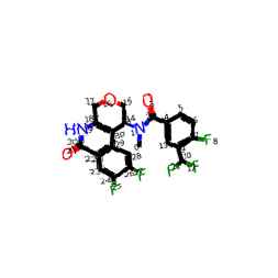 CN(C(=O)c1ccc(F)c(C(F)F)c1)[C@@H]1COCc2[nH]c(=O)c3cc(F)c(F)cc3c21